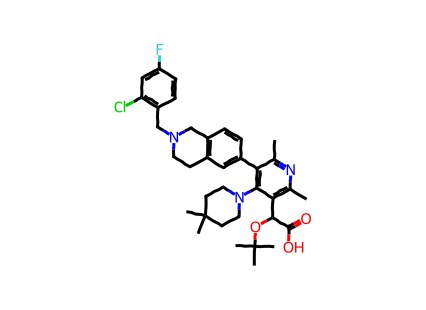 Cc1nc(C)c(C(OC(C)(C)C)C(=O)O)c(N2CCC(C)(C)CC2)c1-c1ccc2c(c1)CCN(Cc1ccc(F)cc1Cl)C2